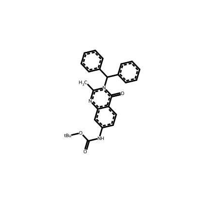 Cc1nc2cc(NC(=O)OC(C)(C)C)ccc2c(=O)n1C(c1ccccc1)c1ccccc1